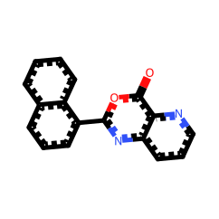 O=c1oc(-c2cccc3ccccc23)nc2cccnc12